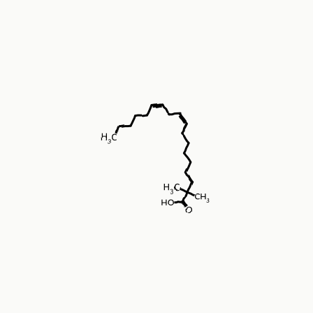 CCCCC/C=C\C/C=C\CCCCCCC(C)(C)C(=O)O